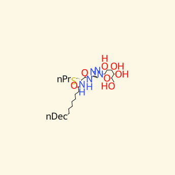 [CH2][CH]CSC[C@@H](NC(=O)CCCCCCCCCCCCCCCCC)C(=O)Nc1cn(C2OC(CO)C(O)C(O)C2O)nn1